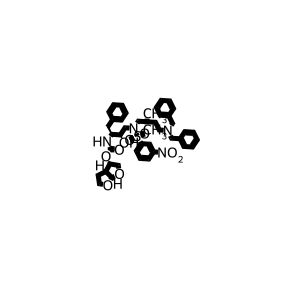 CC(C)(CCN(Cc1ccccc1)Cc1ccccc1)CN(C[C@H](O)[C@H](Cc1ccccc1)NC(=O)O[C@H]1CO[C@H]2OCC[C@H]21)S(=O)(=O)c1cccc([N+](=O)[O-])c1